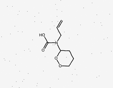 C=CCN(C(=O)O)C1CCCOO1